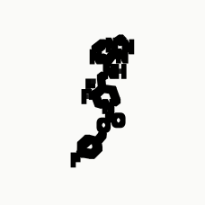 O=C(OCc1ccc(F)cc1)N1CCC(CNc2nccn3cnnc23)C(F)(F)C1